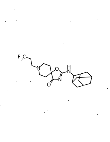 O=C1N=C(NC2C3CC4CC(C3)CC2C4)OC12CCN(CCC(F)(F)F)CC2